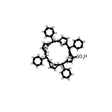 O=S(=O)(O)c1cc2[nH]c1c(-c1ccccc1)c1nc(c(-c3ccccc3)c3ccc([nH]3)c(-c3ccccc3)c3nc(c2-c2ccccc2)C=C3)C=C1